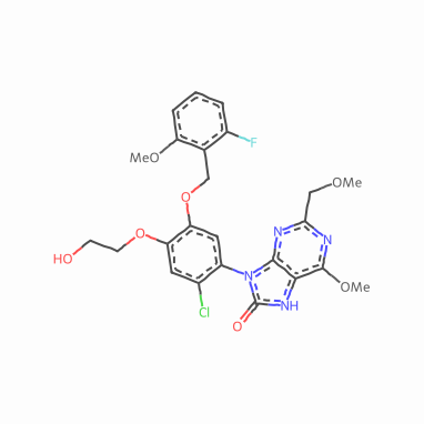 COCc1nc(OC)c2[nH]c(=O)n(-c3cc(OCc4c(F)cccc4OC)c(OCCO)cc3Cl)c2n1